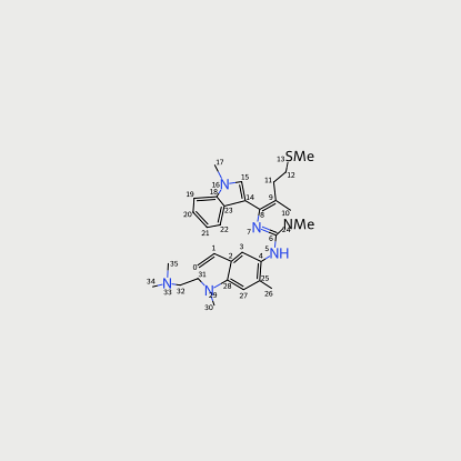 C=Cc1cc(N/C(=N/C(=C(\C)CCSC)c2cn(C)c3ccccc23)NC)c(C)cc1N(C)CCN(C)C